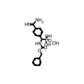 Cl.N=C(N)c1ccc(C(NC(=O)OCc2ccccc2)P(=O)(O)O)cc1